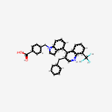 O=C(O)c1ccc(Cn2ccc3c(-c4c(Cc5ccccc5)cnc5c(C(F)(F)F)cccc45)cccc32)cc1